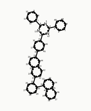 c1ccc(-c2nc(-c3ccccc3)nc(-c3ccc(-c4ccc5cc(-c6ccccc6-c6cccc7ccccc67)ccc5c4)cc3)n2)cc1